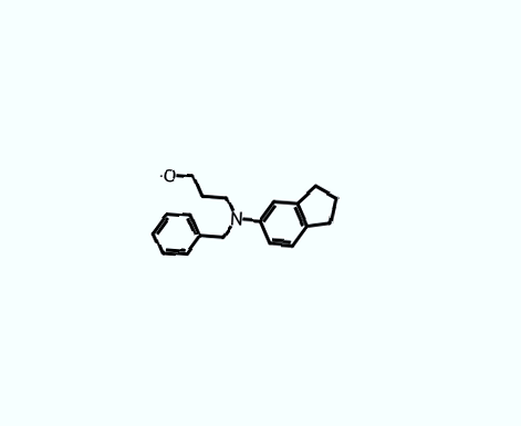 [O]CCCN(Cc1ccccc1)c1ccc2c(c1)CCC2